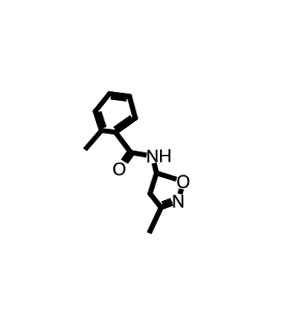 CC1=NOC(NC(=O)c2ccccc2C)C1